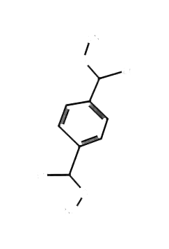 CCC(OC#N)c1ccc(C(CC)OC#N)cc1